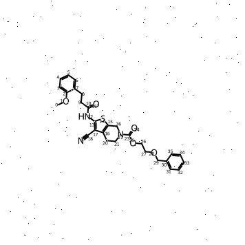 COc1ccccc1CCC(=O)Nc1sc2c(c1C#N)CCN(C(=O)OCCOCc1ccccc1)C2